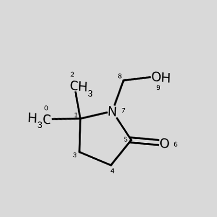 CC1(C)CCC(=O)N1CO